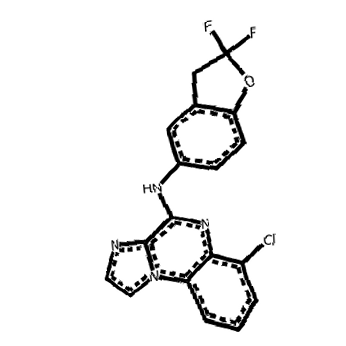 FC1(F)Cc2cc(Nc3nc4c(Cl)cccc4n4ccnc34)ccc2O1